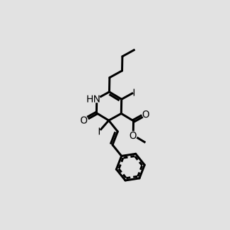 CCCCC1=C(I)C(C(=O)OC)C(I)(C=Cc2ccccc2)C(=O)N1